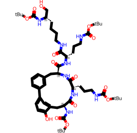 CC(C)(C)OC(=O)NCCC[C@H](NC(=O)[C@@H]1Cc2cccc(c2)-c2ccc(O)c(c2)C[C@H](NC(=O)OC(C)(C)C)C(=O)N[C@@H](CCCNC(=O)OC(C)(C)C)C(=O)N1)C(=O)NCCCC[C@@H](CO)NC(=O)OC(C)(C)C